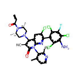 C=CC(=O)N1[C@H](C)CN(c2c(C#N)c(=O)n(-c3c(C)ccnc3C(C)C)c3nc(-c4c(Cl)c(N)c(Cl)c(F)c4Cl)c(Cl)cc23)C[C@@H]1C